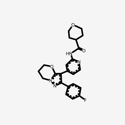 O=C(Nc1cc(-c2c(-c3ccc(F)cc3)nn3c2OCCC3)ccn1)C1CCOCC1